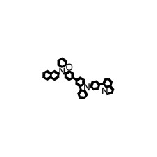 C1=CC2Oc3cc(-c4ccc5c(c4)c4ccccc4n5-c4ccc(-c5cccc6cccnc56)cc4)ccc3N(c3ccc4ccccc4c3)C2C=C1